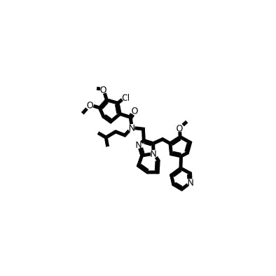 COc1ccc(-c2cccnc2)cc1Cc1c(CN(CCC(C)C)C(=O)c2ccc(OC)c(OC)c2Cl)nc2ccccn12